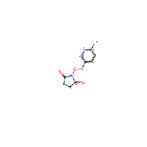 O=C1CCC(=O)N1OCc1ccc(I)nc1